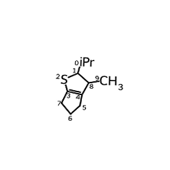 CC(C)C1SC2=C(CCC2)C1C